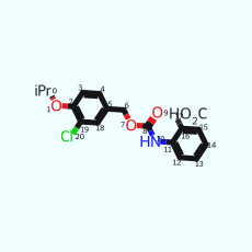 CC(C)Oc1ccc(COC(=O)Nc2ccccc2C(=O)O)cc1Cl